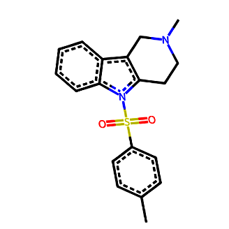 Cc1ccc(S(=O)(=O)n2c3c(c4ccccc42)CN(C)CC3)cc1